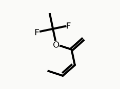 C=C(/C=C\C)OC(C)(F)F